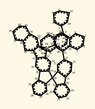 c1ccc(-c2c3ccccc3c(-c3ccc4c(c3)C3(c5ccccc5-4)c4ccccc4-c4cc5c6cc7ccccc7cc6n(-c6ncccn6)c5cc43)c3ccccc23)cc1